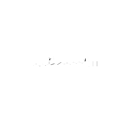 CCCCCC(C=O)C=CC=CCCCCCCCC(=O)O